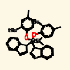 Cc1ccc([O][Zr]([O]c2ccc(C)cc2C(C)(C)C)([CH]2C=Cc3ccccc32)([CH]2C=Cc3ccccc32)[SiH](C)C)c(C(C)(C)C)c1